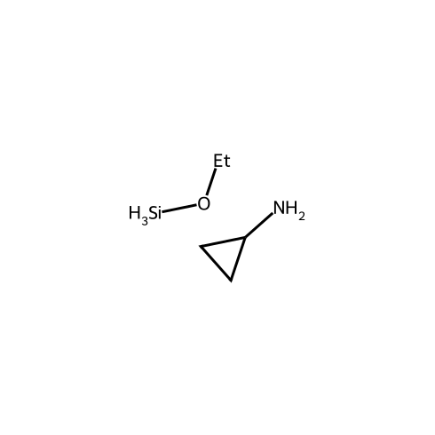 CCO[SiH3].NC1CC1